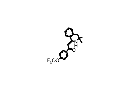 CC1(C)Cc2ccccc2C(=CC(=O)c2ccc(OC(F)(F)F)cc2)N1